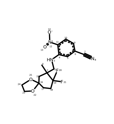 CC1(CNc2cc(C#N)ccc2[N+](=O)[O-])CC2(CCC1(F)F)OCCO2